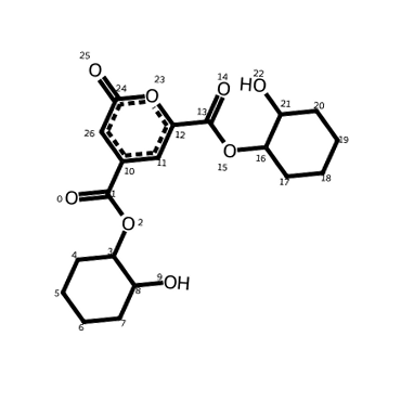 O=C(OC1CCCCC1O)c1cc(C(=O)OC2CCCCC2O)oc(=O)c1